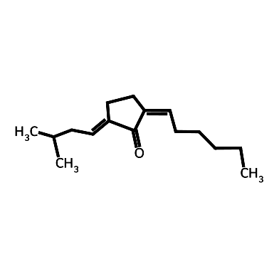 CCCCCC=C1CCC(=CCC(C)C)C1=O